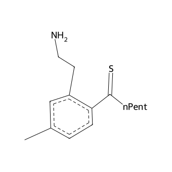 CCCCCC(=S)c1ccc(C)cc1CCN